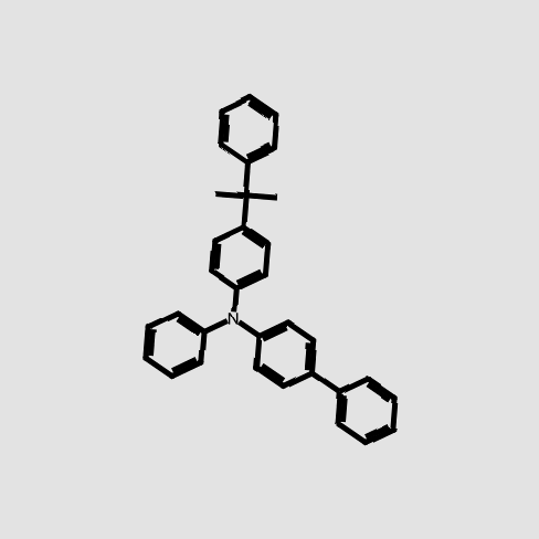 CC(C)(c1ccccc1)c1ccc(N(c2ccccc2)c2ccc(-c3ccccc3)cc2)cc1